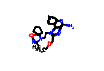 CCOCc1nc2c(N)nc3ccccc3c2n1CCN1C(C)=NOC12CCCC2